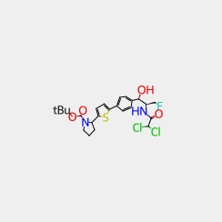 CC(C)(C)OC(=O)N1CCCC1c1ccc(-c2ccc([C@@H](O)[C@@H](CF)NC(=O)C(Cl)Cl)cc2)s1